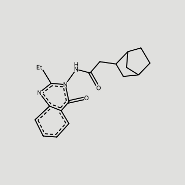 CCc1nc2ccccc2c(=O)n1NC(=O)CC1CC2CCC1C2